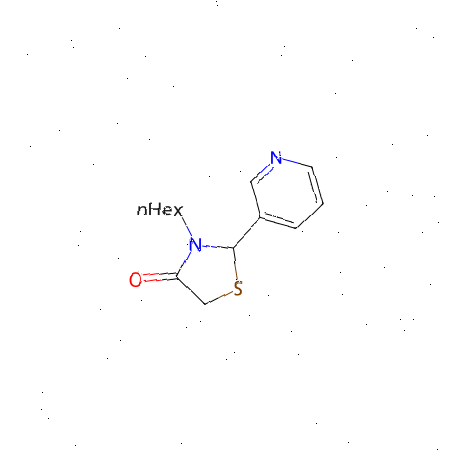 CCCCCCN1C(=O)CSC1c1cccnc1